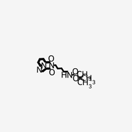 CC(C)(C)OC(=O)NCCCCCn1c(=O)c2cccc3ncc(c1=O)n32